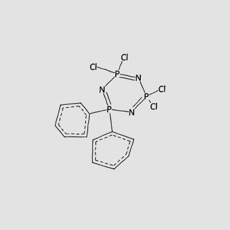 ClP1(Cl)=NP(Cl)(Cl)=NP(c2ccccc2)(c2ccccc2)=N1